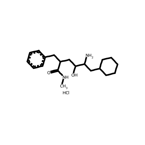 CNC(=O)C(Cc1ccccc1)CC(O)C(N)CC1CCCCC1.Cl